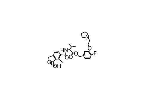 Cc1c(C(=O)NC(C(=O)OCc2ccc(F)c(OCCN3CCCC3)c2)C(C)C)ccc2c1B(O)OC2